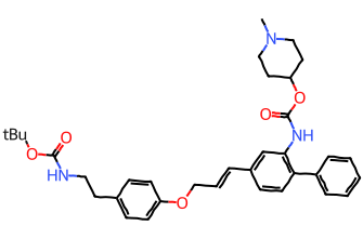 CN1CCC(OC(=O)Nc2cc(/C=C/COc3ccc(CCNC(=O)OC(C)(C)C)cc3)ccc2-c2ccccc2)CC1